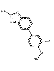 CCCCOc1ccc(-c2ccc3nc(N)sc3c2)cc1F